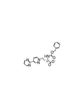 O=C(N[C@@H](CC[n+]1ccc(-c2ncccn2)cn1)C(=O)[O-])OCc1ccccc1